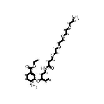 CCOC(=O)C1=C[C@H](OC(CC)CCNC(=O)CCOCCOCCOCCOCCN)[C@H](N)CC1